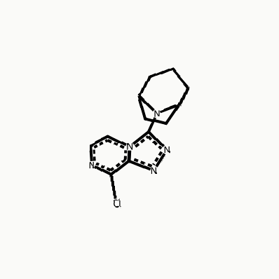 Clc1nccn2c(N3C4CCCC3CC4)nnc12